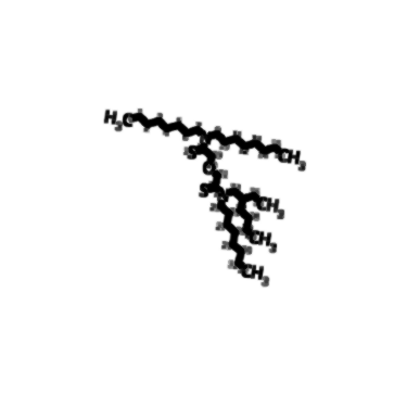 CCCCCCCCN(CCCCCCCC)C(=S)COCC(=S)N(CCCCCCCC)CC(CC)CCCC